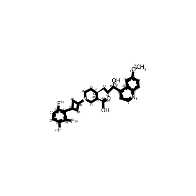 COc1ccc2nccc([C@@H](O)CC[C@@H]3CCN(C4CC(c5c(F)ccc(F)c5F)C4)C[C@@H]3C(=O)O)c2c1